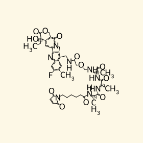 CC[C@@]1(O)C(=O)OCc2c1cc1n(c2=O)Cc2c-1nc1cc(F)c(C)cc1c2CNC(=O)COCNC[C@@](C)(C=O)NC(=O)[C@@H](C)NC(=O)[C@H](C)NC(=O)CCCCCN1C(=O)C=CC1=O